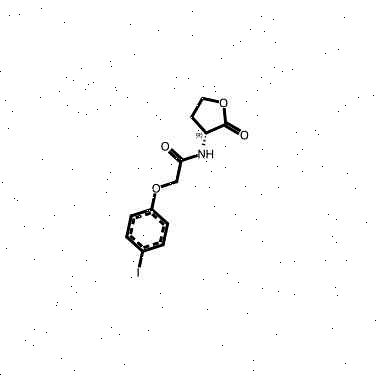 O=C(COc1ccc(I)cc1)N[C@@H]1CCOC1=O